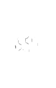 [CH2-][n+]1cccc(C)c1-c1cc(C(F)(F)F)c(F)cc1C